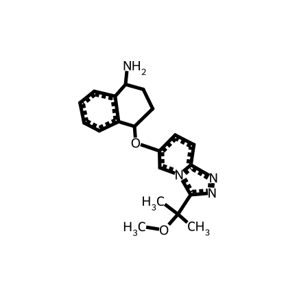 COC(C)(C)c1nnc2ccc(OC3CCC(N)c4ccccc43)cn12